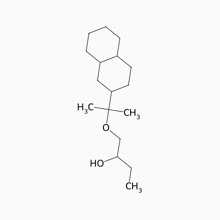 CCC(O)COC(C)(C)C1CCC2CCCCC2C1